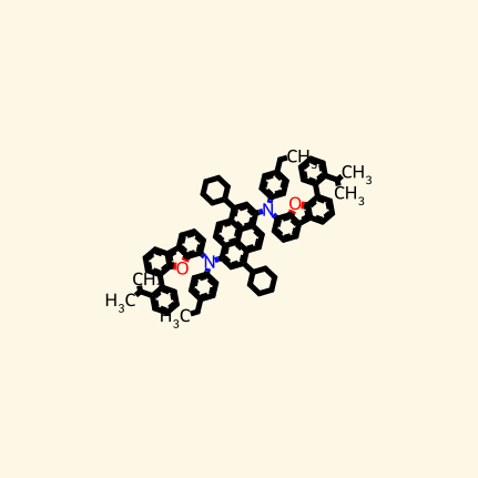 CCc1ccc(N(c2cc(C3CCCCC3)c3ccc4c(N(c5ccc(CC)cc5)c5cccc6c5oc5c(-c7ccccc7C(C)C)cccc56)cc(C5CCCCC5)c5ccc2c3c54)c2cccc3c2oc2c(-c4ccccc4C(C)C)cccc23)cc1